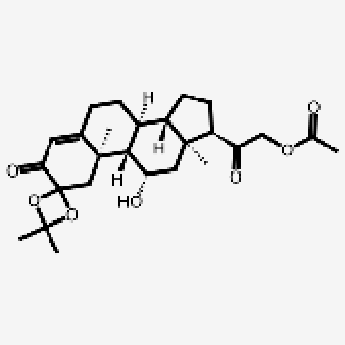 CC(=O)OCC(=O)[C@@H]1CC[C@H]2[C@@H]3CCC4=CC(=O)C5(C[C@]4(C)[C@H]3[C@@H](O)C[C@]12C)OC(C)(C)O5